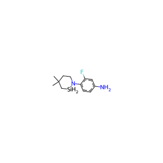 CC1(C)CCN(c2ccc(N)cc2F)[SiH2]C1